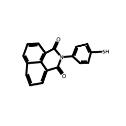 O=C1c2cccc3cccc(c23)C(=O)N1c1ccc(S)cc1